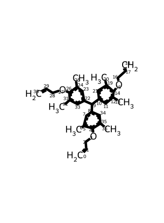 C=CCOc1c(C)cc(C(c2cc(C)c(OCC=C)c(C)c2)c2cc(C)c(OCC=C)c(C)c2)cc1C